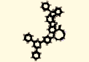 C=C1/C=C\C=C/CN(c2ccc(-c3nc(-c4ccccc4)cc(-c4ccccc4)n3)cc2)c2ccc3c(oc4c3ccc3c4c4ccccc4n3-c3ccccc3)c21